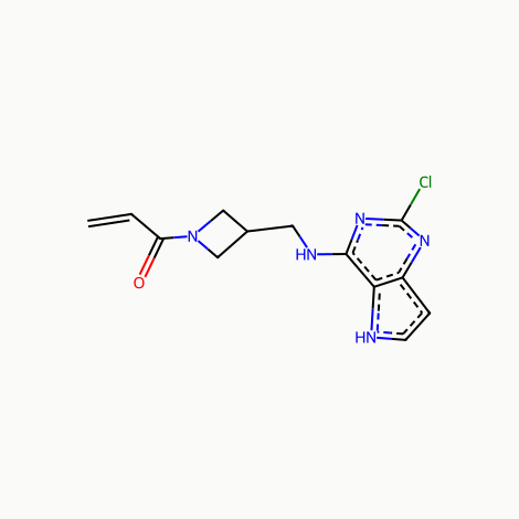 C=CC(=O)N1CC(CNc2nc(Cl)nc3cc[nH]c23)C1